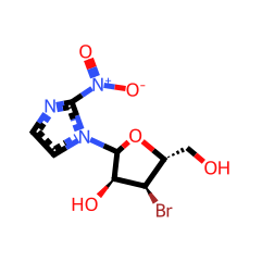 O=[N+]([O-])c1nccn1C1O[C@H](CO)[C@@H](Br)[C@H]1O